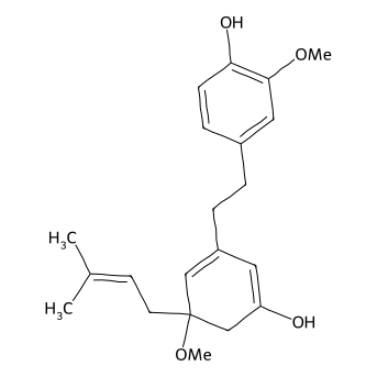 COc1cc(CCC2=CC(CC=C(C)C)(OC)CC(O)=C2)ccc1O